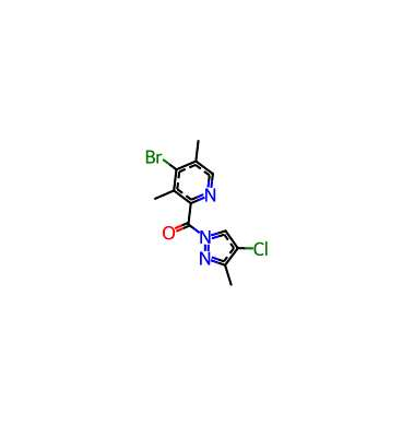 Cc1cnc(C(=O)n2cc(Cl)c(C)n2)c(C)c1Br